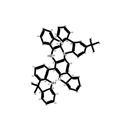 CC(C)(C)c1ccc(N2c3cc4c(oc5ccccc54)c(-c4cccc5c4Nc4ccccc4C5(C)C)c3Bc3c2sc2ccccc32)c(-c2ccccc2)c1